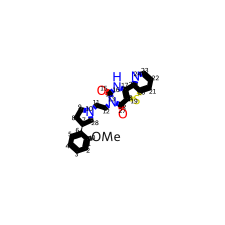 COc1ccccc1[C@@H]1CCN(CCn2c(=O)[nH]c3c(sc4cccnc43)c2=O)C1